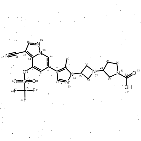 Cc1c(-c2cc(OS(=O)(=O)C(F)(F)F)c3c(C#N)cnn3c2)cnn1C1CN(C2CCN(C(=O)O)C2)C1